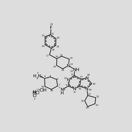 Cl.Cl.Cl.N[C@H]1CC[C@H](Nc2nc(NN3CCC(Cc4ccc(F)cc4)CC3)c3ncn(C4CCCC4)c3n2)CC1